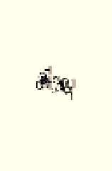 C=CS(=O)(=O)NC[C@H]1CCCN(S(=O)(=O)c2ccc(F)cc2Cl)C1